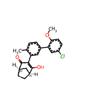 COc1ccc(Cl)cc1-c1ccc(C)c(C2=C(O)[C@H]3CC[C@H](C3)C2=O)c1